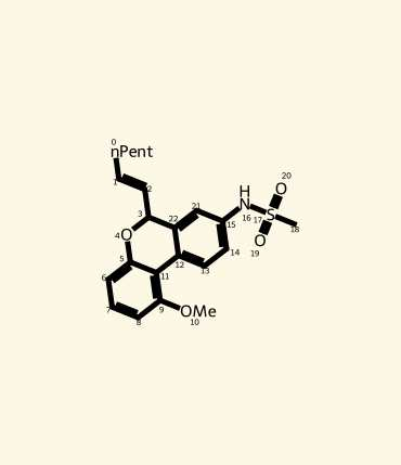 CCCCCC=CC1Oc2cccc(OC)c2-c2ccc(NS(C)(=O)=O)cc21